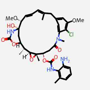 COc1cc2cc(c1Cl)N(C)C(=O)C[C@H](OC(=O)Nc1c(C)cccc1N)[C@]1(C)O[C@H]1[C@H](C)[C@@H]1C[C@@](O)(NC(=O)O1)[C@H](OC)/C=C/C=C(\C)C2